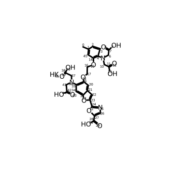 Cc1ccc(N(CC(=O)O)CC(=O)O)c(OCCOc2cc3cc(-c4ncc(C(=O)O)o4)oc3cc2N(CC(=O)O)CC(=O)O)c1.[KH]